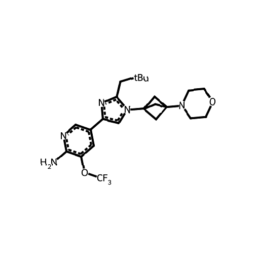 CC(C)(C)Cc1nc(-c2cnc(N)c(OC(F)(F)F)c2)cn1C12CC(N3CCOCC3)(C1)C2